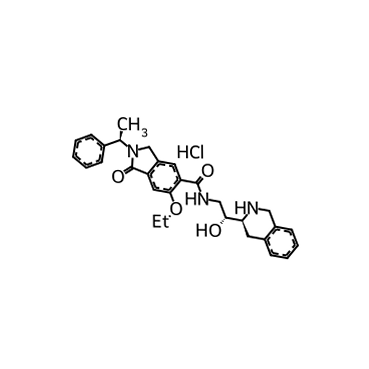 CCOc1cc2c(cc1C(=O)NC[C@@H](O)[C@@H]1Cc3ccccc3CN1)CN([C@H](C)c1ccccc1)C2=O.Cl